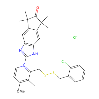 COc1cc[n+](-c2nc3cc4c(cc3[nH]2)C(C)(C)C(=O)C4(C)C)c(CSSCc2ccccc2Cl)c1C.[Cl-]